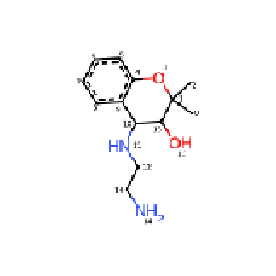 CC1(C)Oc2ccccc2C(NCCN)C1O